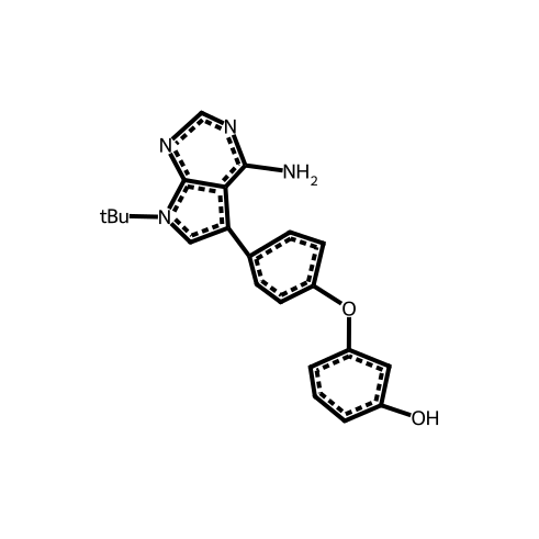 CC(C)(C)n1cc(-c2ccc(Oc3cccc(O)c3)cc2)c2c(N)ncnc21